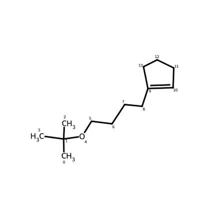 CC(C)(C)OCCCCC1=CCCC1